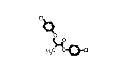 CC(COc1ccc(Cl)cc1)C(=O)Oc1ccc(Cl)cc1